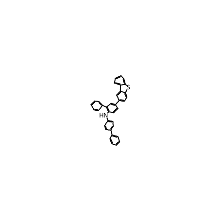 c1ccc(-c2ccc(Nc3ccc(-c4ccc5sc6ccccc6c5c4)cc3-c3ccccc3)cc2)cc1